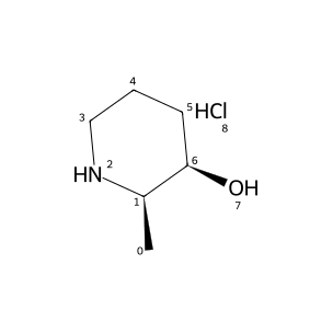 C[C@H]1NCCC[C@H]1O.Cl